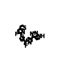 FCC([C@H]1CCN(c2nc3c(cc2F)CCS3)C1)n1cc(-c2ncnc3[nH]ccc23)cn1